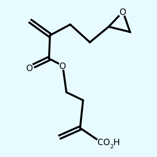 C=C(CCOC(=O)C(=C)CCC1CO1)C(=O)O